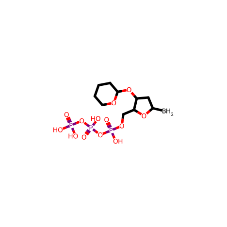 BC1CC(OC2CCCCO2)C(COP(=O)(O)OP(=O)(O)OP(=O)(O)O)O1